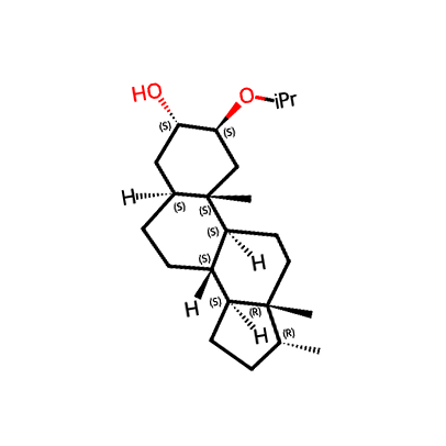 CC(C)O[C@H]1C[C@@]2(C)[C@@H](CC[C@@H]3[C@@H]2CC[C@]2(C)[C@H](C)CC[C@@H]32)C[C@@H]1O